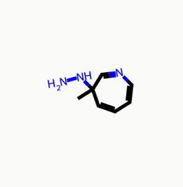 CC1(NN)C=CC=CN=C1